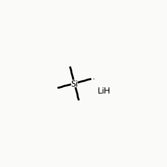 [CH2][Si](C)(C)C.[LiH]